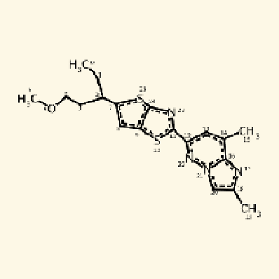 CCC(CCOC)c1cc2sc(-c3cc(C)c4nc(C)cn4n3)nc2s1